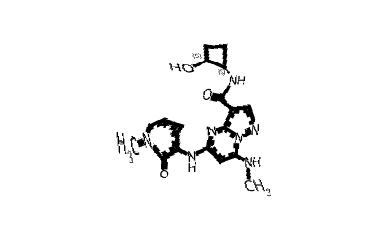 CNc1cc(Nc2cccn(C)c2=O)nc2c(C(=O)N[C@H]3CC[C@@H]3O)cnn12